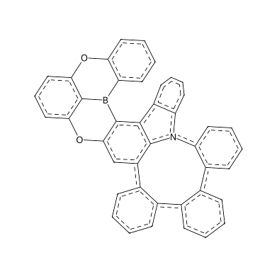 c1ccc2c(c1)Oc1cccc3c1B2c1c(cc2c4ccccc4c4ccccc4c4ccccc4n4c5ccccc5c1c24)O3